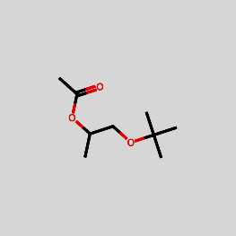 CC(=O)OC(C)COC(C)(C)C